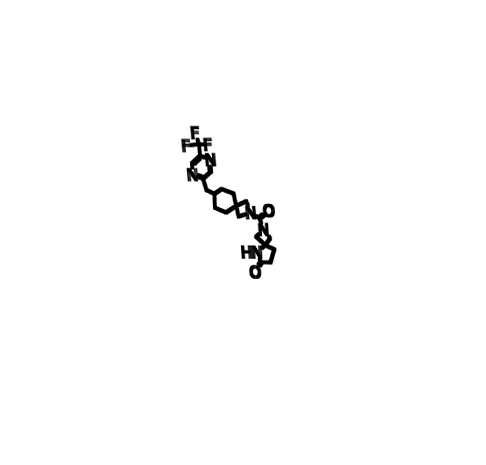 O=C1CCC2(CN(C(=O)N3CC4(CCC(Cc5cnc(C(F)(F)F)cn5)CC4)C3)C2)N1